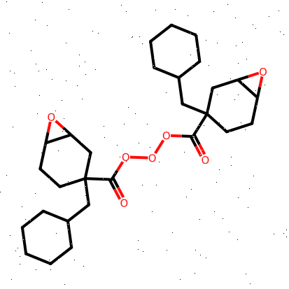 O=C(OOOC(=O)C1(CC2CCCCC2)CCC2OC2C1)C1(CC2CCCCC2)CCC2OC2C1